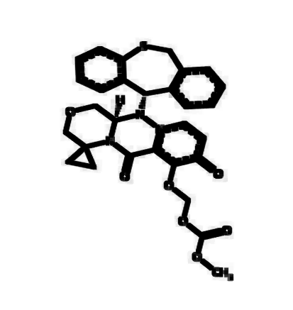 COC(=O)OCOc1c2n(ccc1=O)N([C@H]1c3ccccc3CSc3ccccc31)[C@@H]1COCC3(CC3)N1C2=O